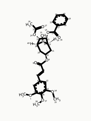 COc1cc(/C=C/C(=O)O[C@@H]2C[C@@H]3[C@@H](OC(=O)c4ccccc4)[C@@H](OC(C)=O)[C@H](C2)N3C)cc(OC)c1OC